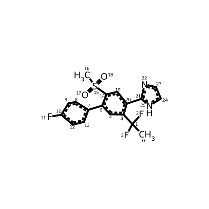 CC(F)(F)c1cc(-c2ccc(F)cc2)c(S(C)(=O)=O)cc1-c1ncc[nH]1